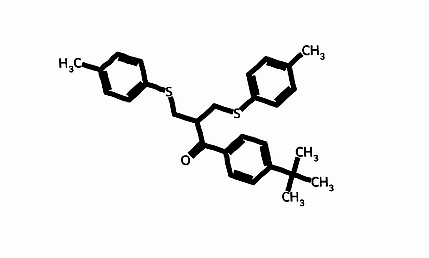 Cc1ccc(SCC(CSc2ccc(C)cc2)C(=O)c2ccc(C(C)(C)C)cc2)cc1